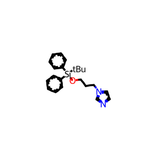 CC(C)(C)[Si](OCCCn1ccnc1)(c1ccccc1)c1ccccc1